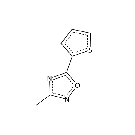 Cc1noc(-c2cccs2)n1